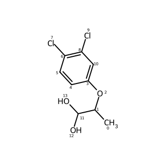 CC(Oc1ccc(Cl)c(Cl)c1)C(O)O